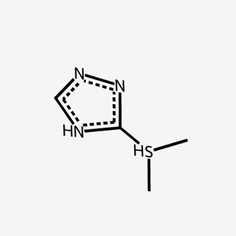 C[SH](C)c1nnc[nH]1